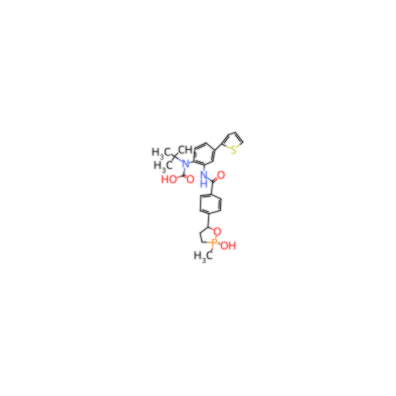 CC(C)(C)N(C(=O)O)c1ccc(-c2cccs2)cc1NC(=O)c1ccc(C2CC[P](C)(O)O2)cc1